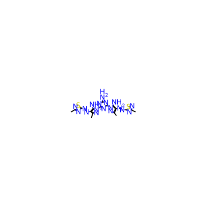 Cc1nsc(N=Nc2c(C)nn(-c3nc(N)nc(-n4nc(C)c(N=Nc5nc(C)ns5)c4N)n3)c2N)n1